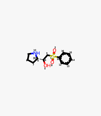 O=S(=O)(CC(O)[C@@H]1CCCN1)c1ccccc1